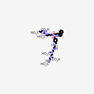 O=C(O)CCC(NC(=O)NC(CCCCNC(=O)C(Cc1cccc2ccccc12)NC(=O)C1CCC(CNC(=O)CNCCN(CCN(CCNCC(=O)O)CC(=O)O)CC(=O)O)CC1)C(=O)O)C(=O)O